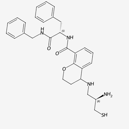 N[C@@H](CS)CNC1CCOc2c(C(=O)N[C@@H](Cc3ccccc3)C(=O)NCc3ccccc3)cccc21